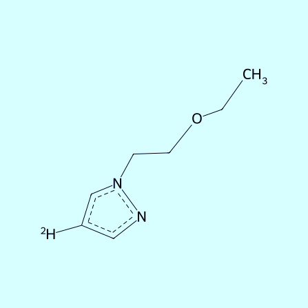 [2H]c1cnn(CCOCC)c1